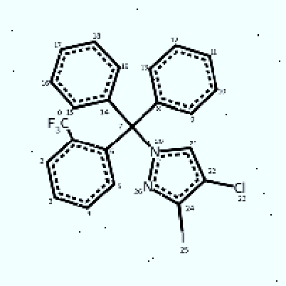 FC(F)(F)c1ccccc1C(c1ccccc1)(c1ccccc1)n1cc(Cl)c(I)n1